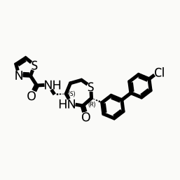 O=C(NC[C@@H]1CCS[C@H](c2cccc(-c3ccc(Cl)cc3)c2)C(=O)N1)c1nccs1